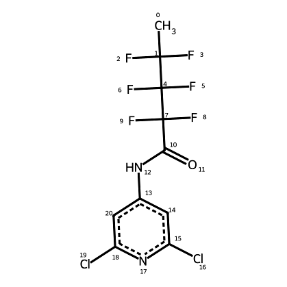 CC(F)(F)C(F)(F)C(F)(F)C(=O)Nc1cc(Cl)nc(Cl)c1